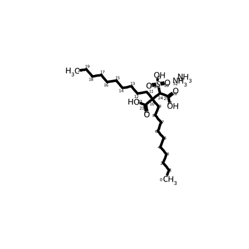 CCCCCCCCCCC(CCCCCCCCCC)(C(=O)O)C(C(=O)O)S(=O)(=O)O.N.N